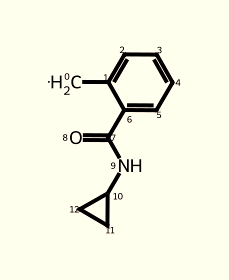 [CH2]c1ccccc1C(=O)NC1CC1